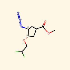 COC(=O)C1C[C@H](N=[N+]=[N-])[C@@H](OCC(F)F)C1